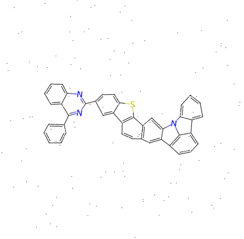 c1ccc(-c2nc(-c3ccc4sc5c6cc7c(cc6ccc5c4c3)c3cccc4c5ccccc5n7c43)nc3ccccc23)cc1